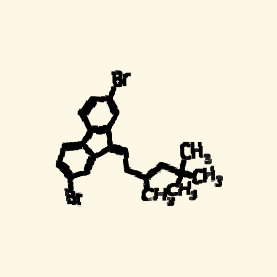 CC(CC=C1c2cc(Br)ccc2-c2ccc(Br)cc21)CC(C)(C)C